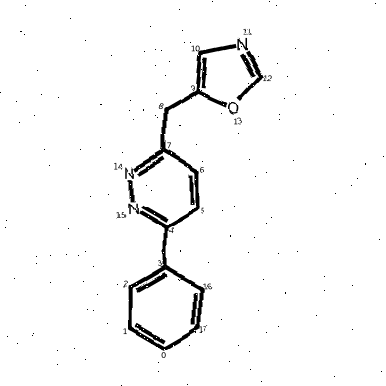 c1ccc(-c2ccc(Cc3cnco3)nn2)cc1